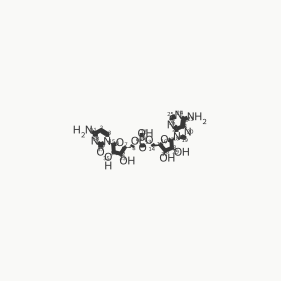 Nc1ccn([C@@H]2O[C@H](COP(=O)(O)OC[C@H]3O[C@@H](n4cnc5c(N)ncnc54)[C@H](O)[C@@H]3O)[C@@H](O)[C@H]2O)c(=O)n1